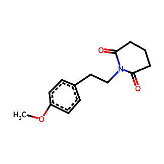 COc1ccc(CCN2C(=O)CCCC2=O)cc1